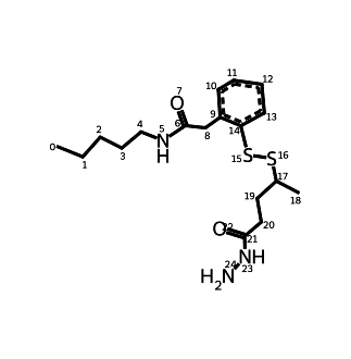 CCCCCNC(=O)Cc1ccccc1SSC(C)CCC(=O)NN